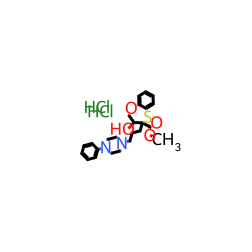 COC(=O)C1(CCCN2CCN(c3ccccc3)CC2)Sc2ccccc2OCC1O.Cl.Cl